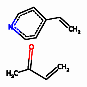 C=CC(C)=O.C=Cc1ccncc1